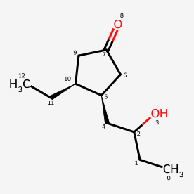 CCC(O)C[C@@H]1CC(=O)C[C@@H]1CC